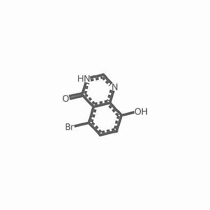 O=c1[nH]cnc2c(O)ccc(Br)c12